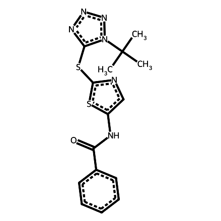 CC(C)(C)n1nnnc1Sc1ncc(NC(=O)c2ccccc2)s1